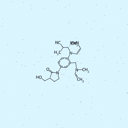 C=CN(C)Cc1cc(N2CCC(CO)C2=O)ccc1N(/C=C\NC)[C@@H](C)C(C)C#N